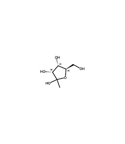 CC1(O)O[C@H](CO)[C@@H](O)[C@H]1O